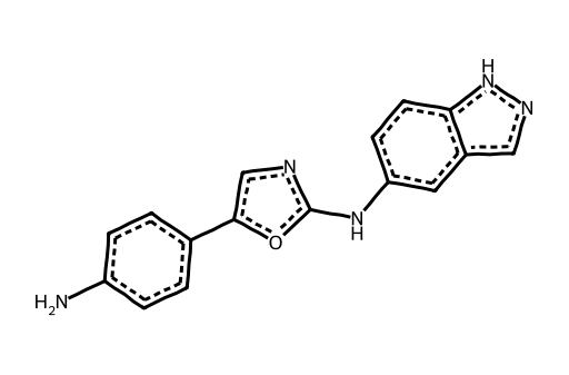 Nc1ccc(-c2cnc(Nc3ccc4[nH]ncc4c3)o2)cc1